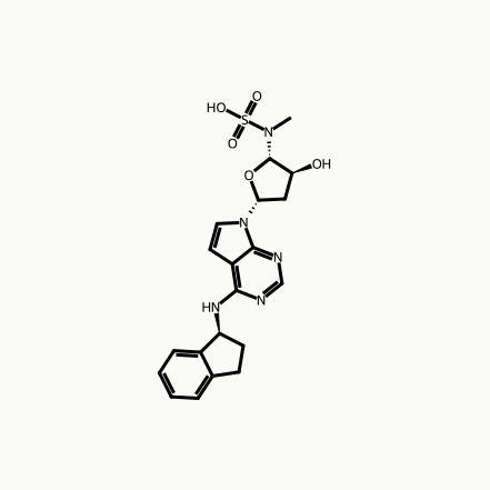 CN([C@H]1O[C@@H](n2ccc3c(N[C@H]4CCc5ccccc54)ncnc32)C[C@@H]1O)S(=O)(=O)O